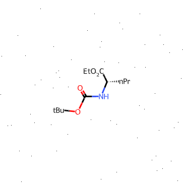 CCC[C@H](NC(=O)OC(C)(C)C)C(=O)OCC